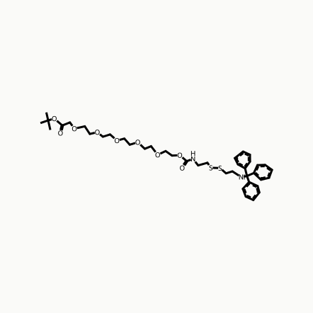 CC(C)(C)OC(=O)COCCOCCOCCOCCOCCOC(=O)NCCSSCCNC(c1ccccc1)(c1ccccc1)c1ccccc1